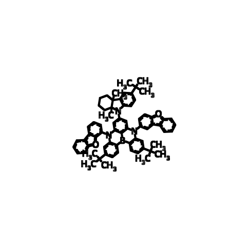 CC(C)(C)c1ccc2c(c1)N(c1ccc3oc4ccccc4c3c1)c1cc(N3c4ccc(C(C)(C)C)cc4C4(C)CCCCC34C)cc3c1B2c1ccc(C(C)(C)C)cc1N3c1cccc2c1oc1ccccc12